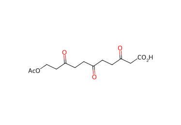 CC(=O)OCCC(=O)CCC(=O)CCC(=O)CC(=O)O